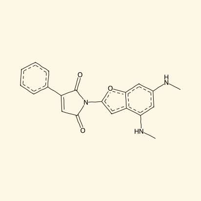 CNc1cc(NC)c2cc(N3C(=O)C=C(c4ccccc4)C3=O)oc2c1